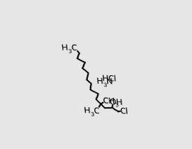 CCCCCCCCCCCC(C)(C)CC(O)CCl.Cl.N